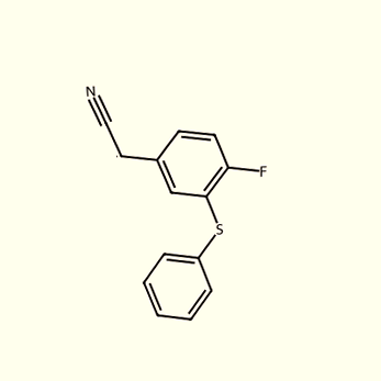 N#C[CH]c1ccc(F)c(Sc2ccccc2)c1